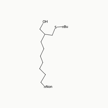 CCCCCCCCCCCCCCCCC(CO)CSCCCC